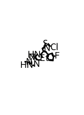 CCC(Nc1ncn(C)[nH]cnc1C)c1cc2scc(Cl)n2c1-c1cccc(F)c1